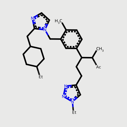 CCC1CCC(Cc2nccn2Cc2cc(C(CCc3cn(CC)nn3)C(C)C(C)=O)ccc2C)CC1